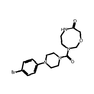 O=C1COCN(C(=O)N2CCN(c3ccc(Br)cc3)CC2)CCN1